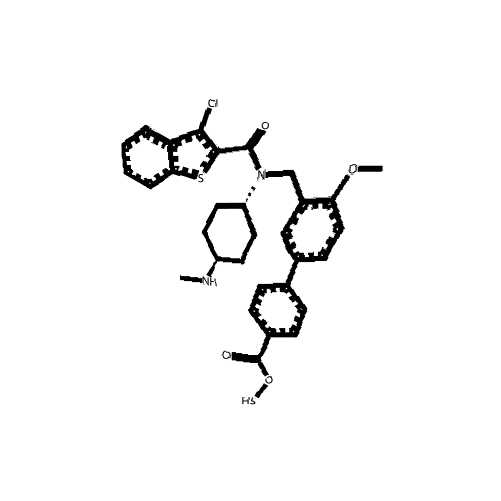 CN[C@H]1CC[C@H](N(Cc2cc(-c3ccc(C(=O)OS)cc3)ccc2OC)C(=O)c2sc3ccccc3c2Cl)CC1